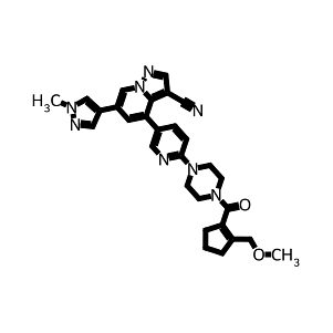 COCC1=C(C(=O)N2CCN(c3ccc(-c4cc(-c5cnn(C)c5)cn5ncc(C#N)c45)cn3)CC2)CCC1